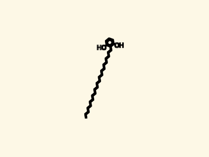 CCCCCCCCCCCCCCCCCCCCCCCc1c(O)cccc1O